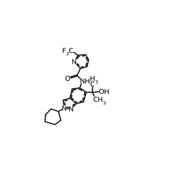 CC(C)(O)c1cc2nn(C3CCCCC3)cc2cc1NC(=O)c1cccc(C(F)(F)F)n1